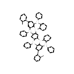 Cc1ccccc1-c1cc2c3c(c1)N(c1ccccc1)c1cc4c(cc1B3c1ccccc1N2c1ccccc1)B1c2ccccc2N(c2ccccc2)c2cc(-c3ccccc3C)cc(c21)N4c1ccccc1